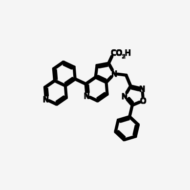 O=C(O)c1cc2c(-c3cccc4cnccc34)nccc2n1Cc1noc(-c2ccccc2)n1